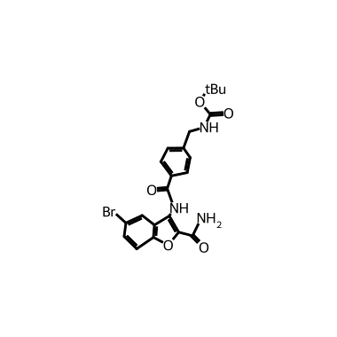 CC(C)(C)OC(=O)NCc1ccc(C(=O)Nc2c(C(N)=O)oc3ccc(Br)cc23)cc1